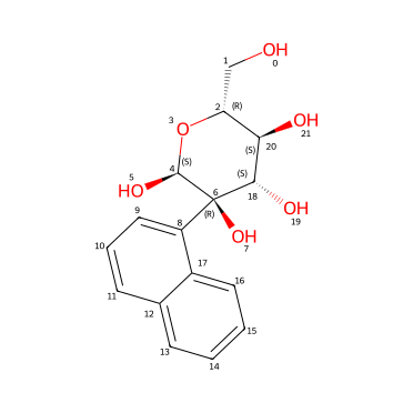 OC[C@H]1O[C@H](O)[C@@](O)(c2cccc3ccccc23)[C@@H](O)[C@@H]1O